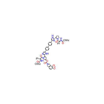 COC(=O)N[C@H](C(=O)N1C[C@@H](OC(=O)N2Cc3ccc4c(c3C2)OCO4)C[C@@H]1c1ncc(-c2ccc(-c3ccc(-c4c[nH]c([C@@H]5CCCN5C(=O)[C@@H](NC(=O)OC)C(C)C)n4)cc3)cc2)[nH]1)C(C)C